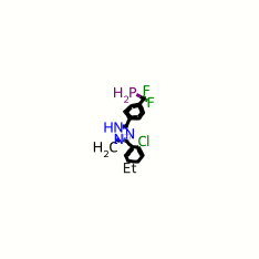 C=N/C(=N\C(=N)c1ccc(C(F)(F)P)cc1)C1=CC(CC)CC=C1Cl